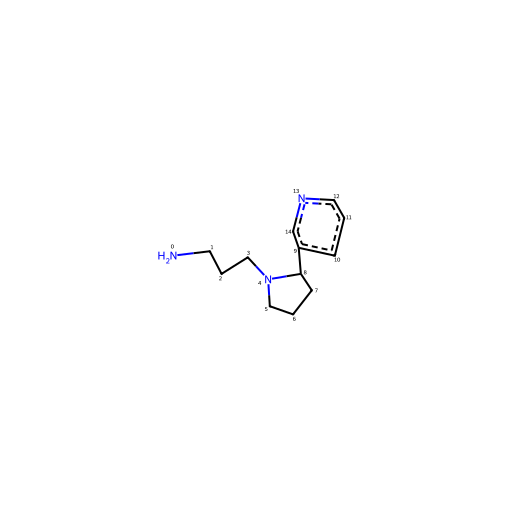 NCCCN1CCCC1c1cccnc1